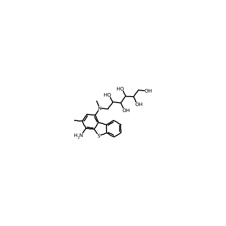 Cc1cc(N(C)CC(O)C(O)C(O)C(O)CO)c2c(sc3ccccc32)c1N